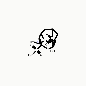 CC(C)CN1CC2=C3S/C(S(N)(=O)=O)=C\C1CC(C2)S3(=O)=O.Cl